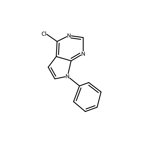 Clc1ncnc2c1ccn2-c1ccccc1